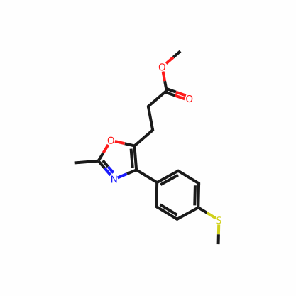 COC(=O)CCc1oc(C)nc1-c1ccc(SC)cc1